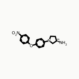 N[C@@H]1CCN(c2ccc(Oc3ccc([N+](=O)[O-])cc3)cc2)C1